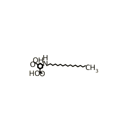 CCCCCCCCCCCCCCCCCNc1cc(C(=O)O)cc(C(=O)O)c1